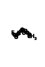 COc1ccc(OC(=O)N2CCCC3CC(N4CCC5(CC4)COc4ccc(F)cc45)CC32)cc1